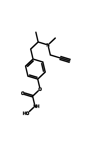 C#CCN(C)C(C)Cc1ccc(OC(=O)NO)cc1